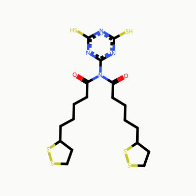 O=C(CCCCC1CCSS1)N(C(=O)CCCCC1CCSS1)c1nc(S)nc(S)n1